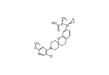 COc1cc(N2CCC3(CCc4ccc([C@H](C5CC5)[C@H](C)C(=O)O)cc4O3)CC2)c(Cl)cn1